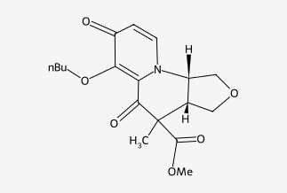 CCCCOc1c2n(ccc1=O)[C@@H]1COC[C@@H]1C(C)(C(=O)OC)C2=O